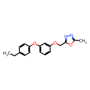 CCc1ccc(Oc2cccc(OCc3nnc(C)o3)c2)cc1